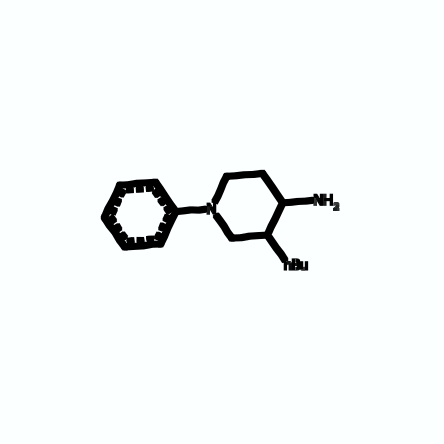 CCCCC1CN(c2ccccc2)CCC1N